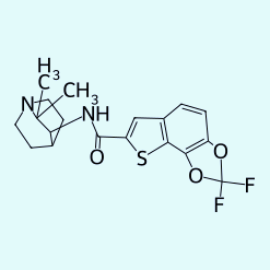 CC1(C)C(NC(=O)c2cc3ccc4c(c3s2)OC(F)(F)O4)C2CCN1CC2